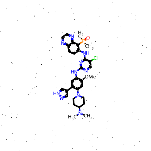 COc1cc(N2CCC(N(C)C)CC2)c(-c2cn[nH]c2)cc1Nc1ncc(Cl)c(Nc2ccc3nccnc3c2P(C)(C)=O)n1